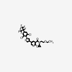 CCOCCN(C(=O)c1cc(-c2cnn(-c3c(Cl)cc(C(F)(C(F)(F)F)C(F)(F)F)cc3Cl)c2)cnc1Cl)C1CC1